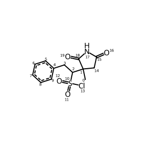 CC1(C(Cc2ccccc2)S(=O)(=O)Cl)CC(=O)NC1=O